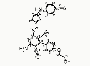 [C-]#[N+]c1c(N)nc(SCc2csc(Nc3ccc(C#N)cc3)n2)c(C#N)c1-c1ccc(OCCO)nc1